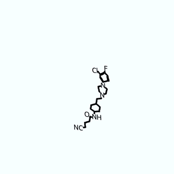 N#CCCCC(=O)NC1CCC(CCN2CCN(c3ccc(F)c(Cl)c3)CC2)CC1